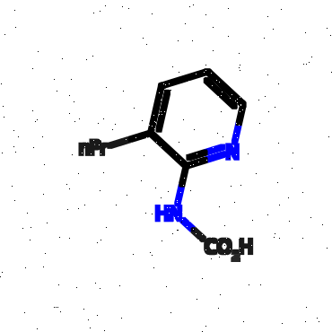 CCCc1cccnc1NC(=O)O